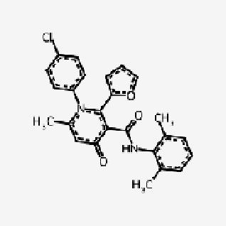 Cc1cccc(C)c1NC(=O)c1c(-c2ccco2)n(-c2ccc(Cl)cc2)c(C)cc1=O